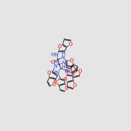 [O]C(Nc1cc2occc2o1)(Nc1cc2occc2o1)C(Nc1cc2occc2o1)(Nc1cc2occc2o1)C(Nc1cc2occc2o1)Nc1cc2occc2o1